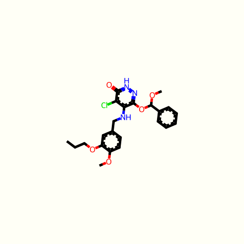 CCCOc1cc(CNc2c(OC(OC)c3ccccc3)n[nH]c(=O)c2Cl)ccc1OC